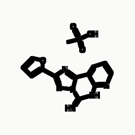 CS(=O)(=O)O.N=c1[nH]c2ncccc2c2nc(-c3ccco3)nn12